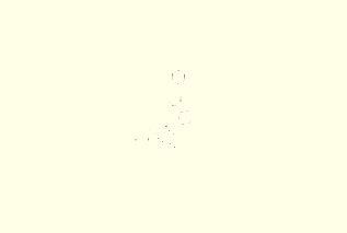 C=C(C)[C@]1(C)CC(=O)N([C@@H]2CC(C)(C)Oc3ccc(C(=O)N[C@@H]4c5ccccc5CC4(C)O)cc32)C(=N)N1